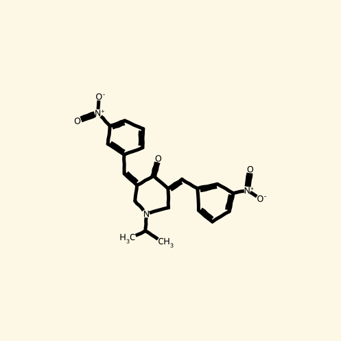 CC(C)N1CC(=Cc2cccc([N+](=O)[O-])c2)C(=O)C(=Cc2cccc([N+](=O)[O-])c2)C1